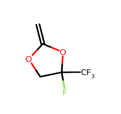 C=C1OCC(F)(C(F)(F)F)O1